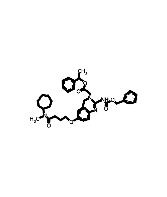 CC(OC(=O)CN1Cc2cc(OCCCC(=O)N(C)C3CCCCCC3)ccc2N=C1NC(=O)OCc1ccccc1)c1ccccc1